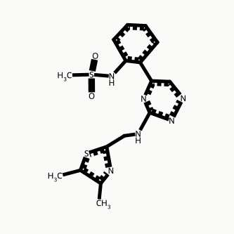 Cc1nc(CNc2nncc(-c3ccccc3NS(C)(=O)=O)n2)sc1C